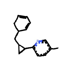 Cc1ccc(C2CC2CC2C=CC=CC2)nc1